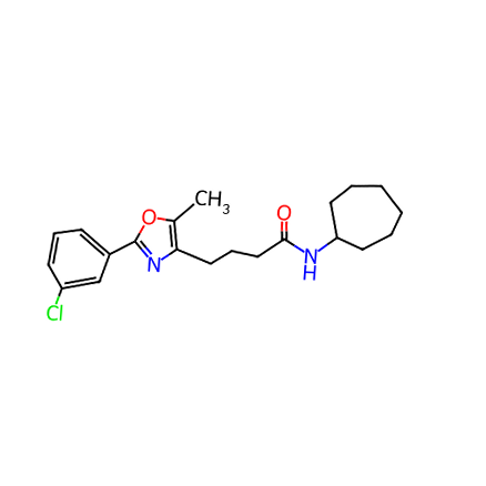 Cc1oc(-c2cccc(Cl)c2)nc1CCCC(=O)NC1CCCCCC1